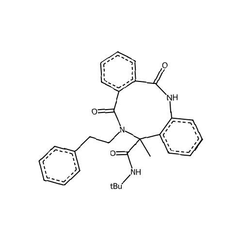 CC(C)(C)NC(=O)C1(C)c2ccccc2NC(=O)c2ccccc2C(=O)N1CCc1ccccc1